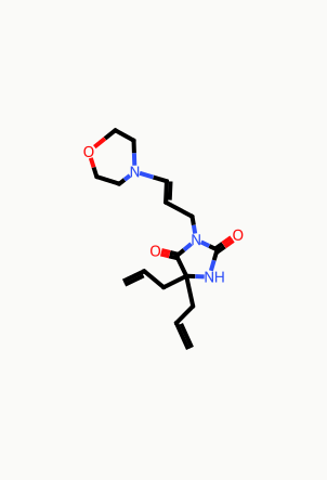 C=CCC1(CC=C)NC(=O)N(CC=CN2CCOCC2)C1=O